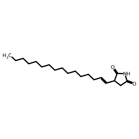 CCCCCCCCCCCCCCC=CC1CC(=O)NC1=O